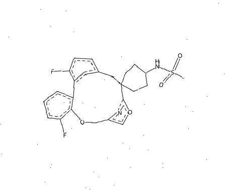 CS(=O)(=O)NC1CCC2(CC1)Cc1ccc(F)c(c1)-c1cccc(F)c1OCc1coc2n1